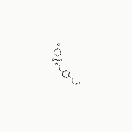 CC(=O)/C=C/c1ccc(CCNS(=O)(=O)c2ccc(Cl)cc2)cc1